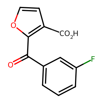 O=C(O)c1ccoc1C(=O)c1cccc(F)c1